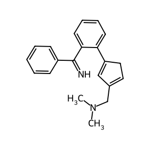 CN(C)CC1=CCC(c2ccccc2C(=N)c2ccccc2)=C1